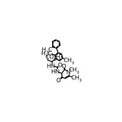 CC1=CC(=O)C(NC(=O)NC(CC(=O)O)c2cc(C)cc(-c3ccccc3C)c2C)C(=O)N1C